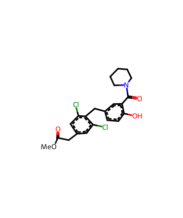 COC(=O)Cc1cc(Cl)c(Cc2ccc(O)c(C(=O)N3CCCCC3)c2)c(Cl)c1